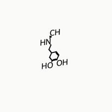 C#CNCCC1C=CC(O)=C(O)C1